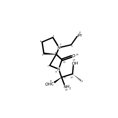 CC(C)CN1CCC[C@@]12CN([C@](N)(C=O)[C@@H](C)O)C2=O